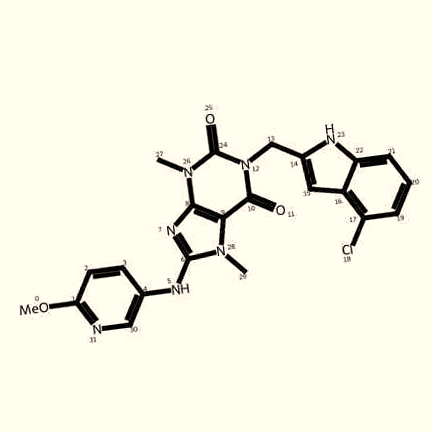 COc1ccc(Nc2nc3c(c(=O)n(Cc4cc5c(Cl)cccc5[nH]4)c(=O)n3C)n2C)cn1